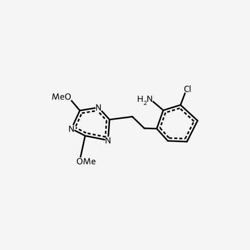 COc1nc(CCc2cccc(Cl)c2N)nc(OC)n1